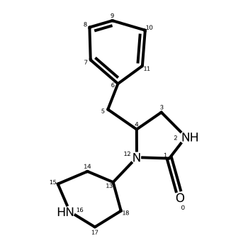 O=C1NCC(Cc2ccccc2)N1C1CCNCC1